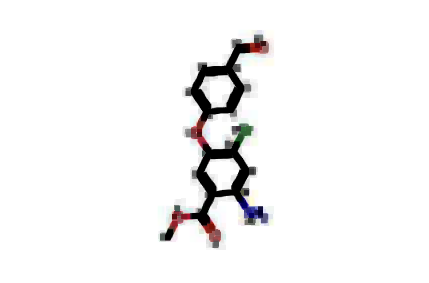 COC(=O)c1cc(Oc2ccc(C=O)cc2)c(Br)cc1N